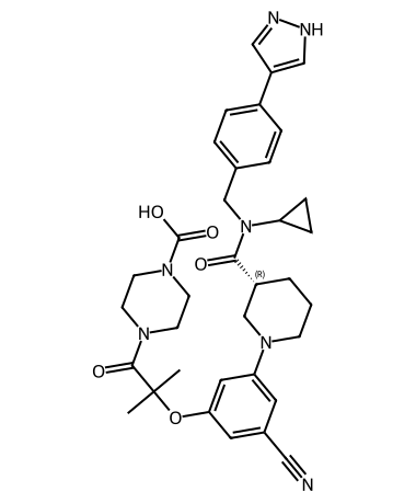 CC(C)(Oc1cc(C#N)cc(N2CCC[C@@H](C(=O)N(Cc3ccc(-c4cn[nH]c4)cc3)C3CC3)C2)c1)C(=O)N1CCN(C(=O)O)CC1